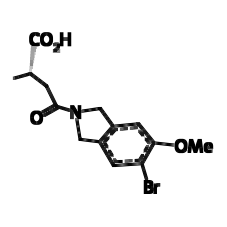 COc1cc2c(cc1Br)CN(C(=O)C[C@H](C)C(=O)O)C2